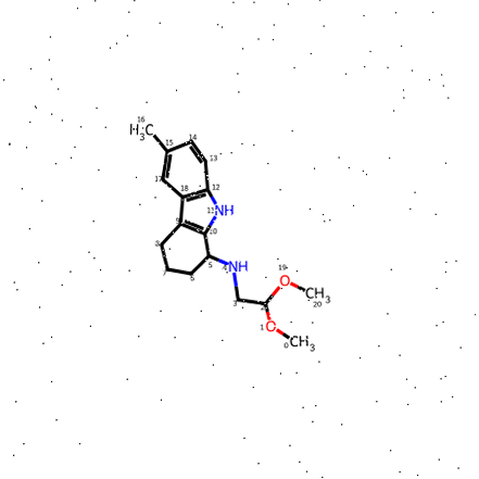 COC(CNC1CCCc2c1[nH]c1ccc(C)cc21)OC